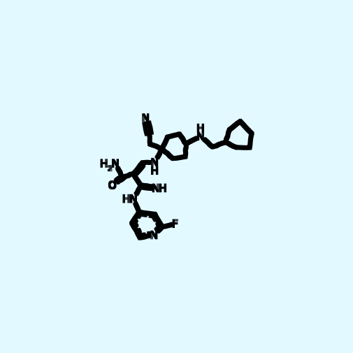 N#CCC1(N/C=C(\C(=N)Nc2ccnc(F)c2)C(N)=O)CCC(NCC2CCCCC2)CC1